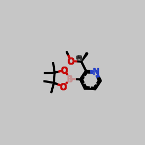 CO[C@@H](C)c1ncccc1B1OC(C)(C)C(C)(C)O1